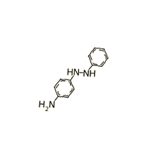 Nc1ccc(NNc2ccccc2)cc1